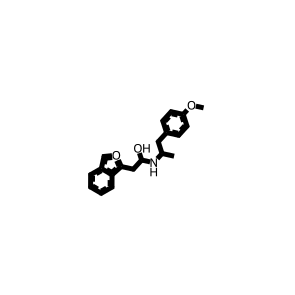 COc1ccc(CC(C)NC(O)Cc2occ3ccccc23)cc1